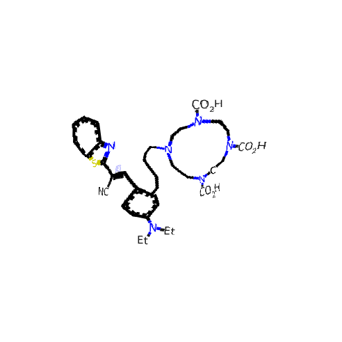 CCN(CC)c1ccc(/C=C(\C#N)c2nc3ccccc3s2)c(CCCN2CCN(C(=O)O)CCN(C(=O)O)CCN(C(=O)O)CC2)c1